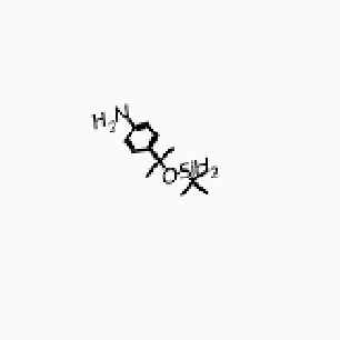 CC(C)(C)[SiH2]OC(C)(C)c1ccc(N)cc1